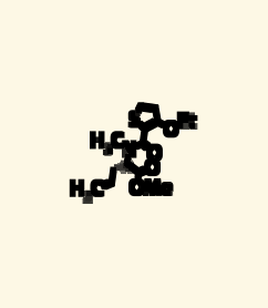 C=CC[C@@H](C(=O)OC)N(C)C(=O)c1sccc1OCC